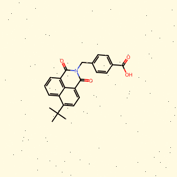 CC(C)(C)c1ccc2c3c(cccc13)C(=O)N(Cc1ccc(C(=O)O)cc1)C2=O